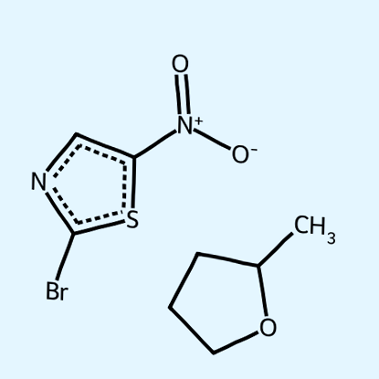 CC1CCCO1.O=[N+]([O-])c1cnc(Br)s1